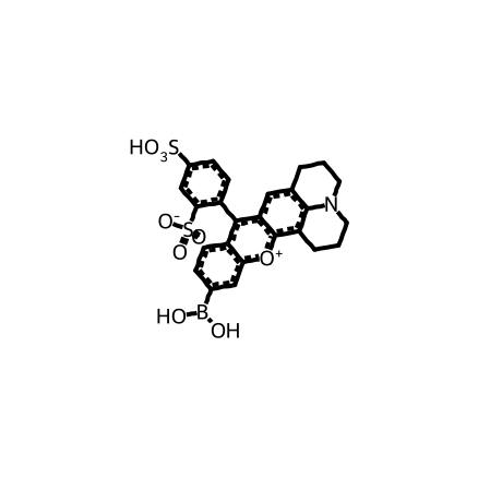 O=S(=O)([O-])c1cc(S(=O)(=O)O)ccc1-c1c2ccc(B(O)O)cc2[o+]c2c3c4c(cc12)CCCN4CCC3